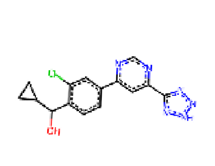 OC(c1ccc(-c2cc(-c3nn[nH]n3)ncn2)cc1Cl)C1CC1